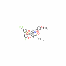 C=CC[C@@H]1C[C@@H]2[C@@H](CC[C@@]3(S(=O)(=O)c4ccc(C(F)(F)F)cc4)c4c(F)ccc(F)c4OC[C@@H]23)N(Cc2ccc(OC)cc2)S1(=O)=O